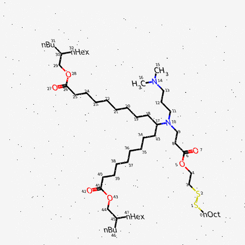 CCCCCCCCSSCCOC(=O)CCN(CCCN(C)C)C(CCCCCCCCC(=O)OCC(CCCC)CCCCCC)CCCCCCCCC(=O)OCC(CCCC)CCCCCC